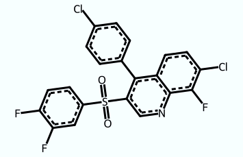 O=S(=O)(c1ccc(F)c(F)c1)c1cnc2c(F)c(Cl)ccc2c1-c1ccc(Cl)cc1